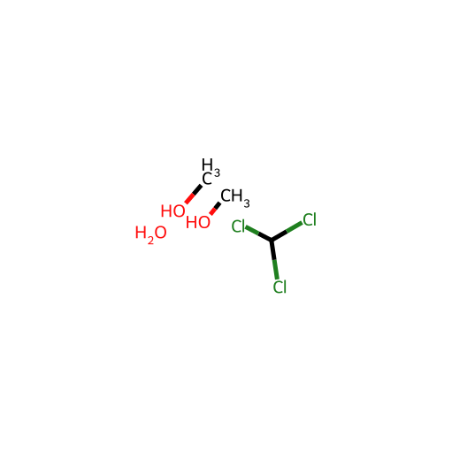 CO.CO.ClC(Cl)Cl.O